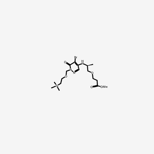 COC(=O)CCOC[C@H](C)Nc1cnn(COCC[Si](C)(C)C)c(=O)c1Br